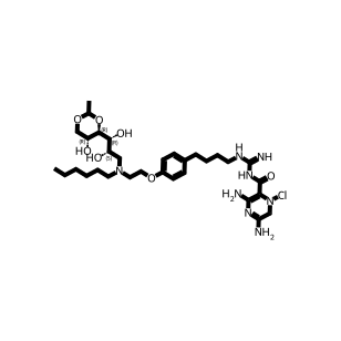 CCCCCCN(CCOc1ccc(CCCCNC(=N)NC(=O)C2=C(N)N=C(N)CN2Cl)cc1)C[C@H](O)[C@@H](O)[C@@H]1OC(C)OC[C@H]1O